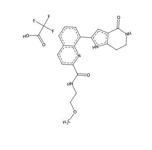 COCCNC(=O)c1ccc2cccc(-c3cc4c([nH]3)CCNC4=O)c2n1.O=C(O)C(F)(F)F